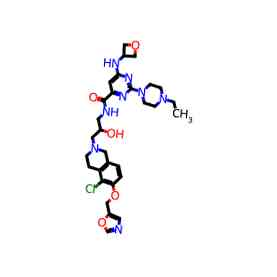 CCN1CCN(c2nc(NC3COC3)cc(C(=O)NCC(O)CN3CCc4c(ccc(OCc5cnco5)c4Cl)C3)n2)CC1